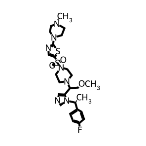 COCC(c1cncn1[C@H](C)c1ccc(F)cc1)N1CCN(S(=O)(=O)c2cnc(N3CCN(C)CC3)s2)CC1